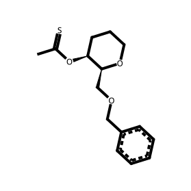 CC(=S)O[C@H]1CCCO[C@H]1COCc1ccccc1